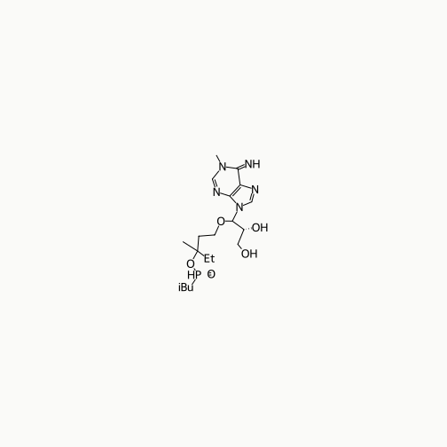 CCC(C)[PH](=O)OC(C)(CC)CCOC([C@H](O)CO)n1cnc2c(=N)n(C)cnc21